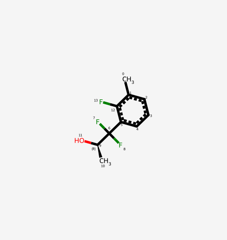 Cc1cccc(C(F)(F)[C@@H](C)O)c1F